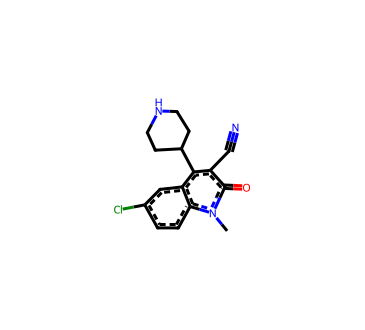 Cn1c(=O)c(C#N)c(C2CCNCC2)c2cc(Cl)ccc21